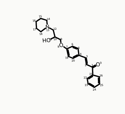 O=C(/C=C/c1ccc(OCC(O)CN2CCCCC2)cc1)c1ccccc1